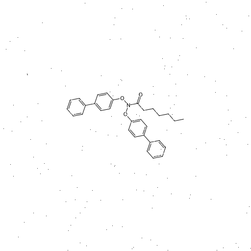 CCCCCCC(=O)N(Oc1ccc(-c2ccccc2)cc1)Oc1ccc(-c2ccccc2)cc1